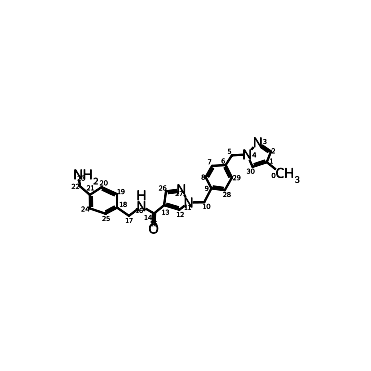 Cc1cnn(Cc2ccc(Cn3cc(C(=O)NCc4ccc(CN)cc4)cn3)cc2)c1